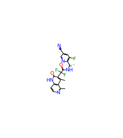 Cc1nccc2[nH]c(=O)c(C(F)(F)C(=O)N[C@@H](C)c3ncc(C#N)cc3F)c(C)c12